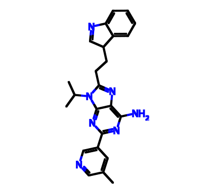 Cc1cncc(-c2nc(N)c3nc(CCC4C=Nc5ccccc54)n(C(C)C)c3n2)c1